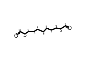 O=[C]CCCCCCCCC[C]=O